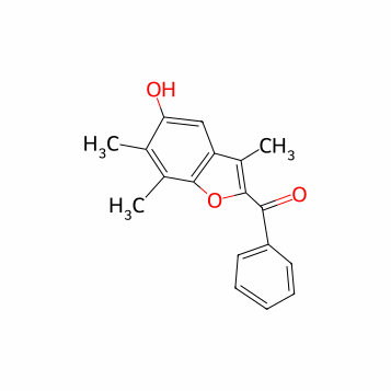 Cc1c(O)cc2c(C)c(C(=O)c3ccccc3)oc2c1C